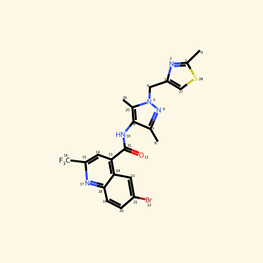 Cc1nc(Cn2nc(C)c(NC(=O)c3cc(C(F)(F)F)nc4ccc(Br)cc34)c2C)cs1